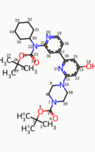 CC(C)(C)OC(=O)N1CCN(c2cc(O)cc(-c3ccnc(N(C(=O)OC(C)(C)C)C4CCCCC4)c3)n2)CC1